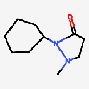 CN1CCC(=O)N1C1CCCCC1